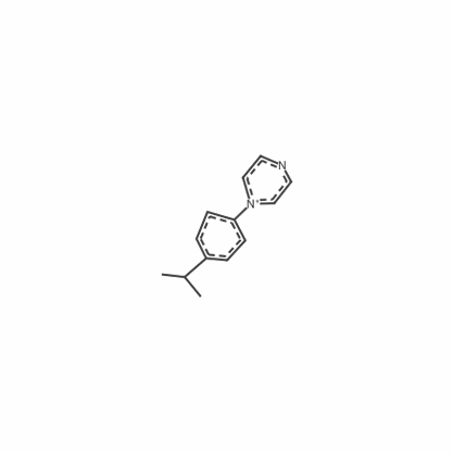 CC(C)c1ccc(-[n+]2ccncc2)cc1